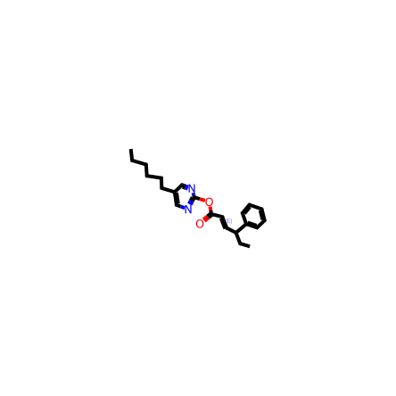 CCCCCCc1cnc(OC(=O)/C=C/C(CC)c2ccccc2)nc1